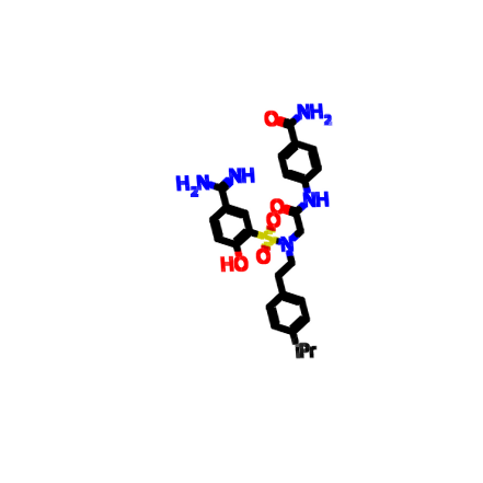 CC(C)c1ccc(CCN(CC(=O)Nc2ccc(C(N)=O)cc2)S(=O)(=O)c2cc(C(=N)N)ccc2O)cc1